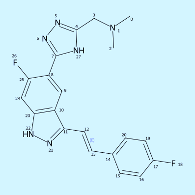 CN(C)Cc1nnc(-c2cc3c(/C=C/c4ccc(F)cc4)n[nH]c3cc2F)[nH]1